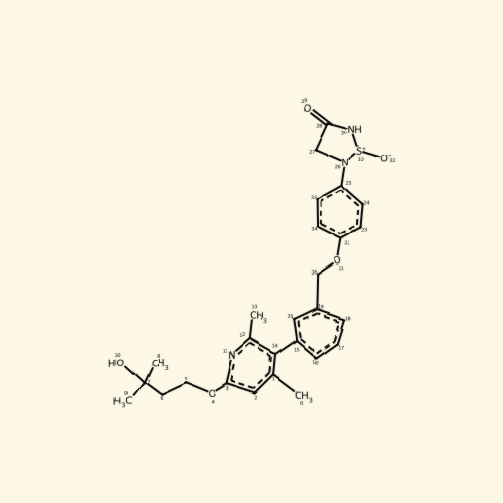 Cc1cc(OCCC(C)(C)O)nc(C)c1-c1cccc(COc2ccc(N3CC(=O)N[S+]3[O-])cc2)c1